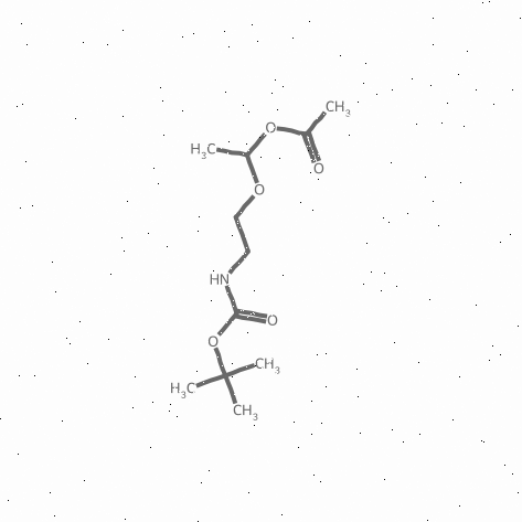 CC(=O)OC(C)OCCNC(=O)OC(C)(C)C